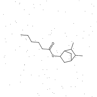 CCCCCC(=O)OC1CC2CC1C(C)C2C